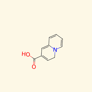 O=C(O)C1=CCN2C=CC=CC2=C1